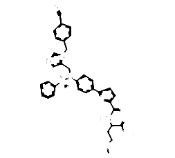 CSCCC(NC(=O)c1ccc(-c2ccc(N(Cc3cncn3Cc3ccc(C#N)cc3)S(=O)(=O)c3ccccc3)cc2)o1)C(=O)O